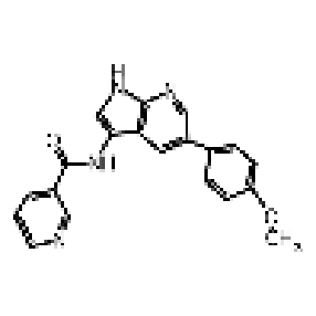 COc1ccc(-c2cnc3[nH]cc(NC(=O)c4cccnc4)c3c2)cc1